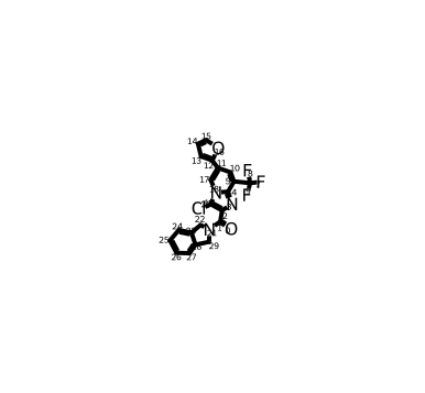 O=C(c1nc2c(C(F)(F)F)cc(-c3ccco3)cn2c1Cl)N1Cc2ccccc2C1